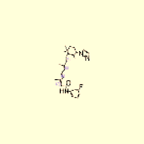 CC1=C(/C=C/C(C)=C/C=C/C(C)=C\C(=O)Nc2cccc(F)c2)C(C)(C)CCC1n1ccnc1